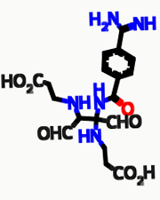 N=C(N)c1ccc(C(=O)NC(C=O)(NCCC(=O)O)C(C=O)NCCC(=O)O)cc1